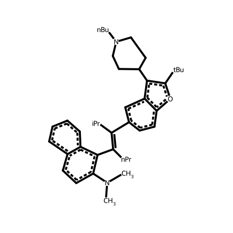 CCCCN1CCC(c2c(C(C)(C)C)oc3ccc(C(=C(CCC)c4c(N(C)C)ccc5ccccc45)C(C)C)cc23)CC1